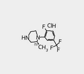 C[C@H]1CNCCN1c1cc(C(F)(F)F)ccc1F.Cl